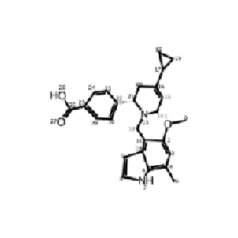 COc1cc(C)c2[nH]ccc2c1CN1CC=C(C2CC2)C[C@H]1c1ccc(C(=O)O)cc1